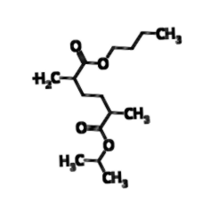 [CH2]C(CCC(C)C(=O)OC(C)C)C(=O)OCCCC